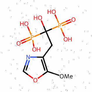 COc1ocnc1CC(O)(P(=O)(O)O)P(=O)(O)O